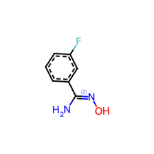 N/C(=N\O)c1cccc(F)c1